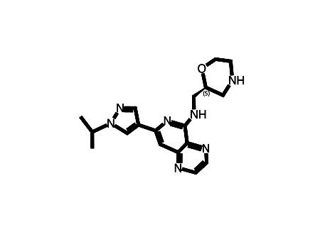 CC(C)n1cc(-c2cc3nccnc3c(NC[C@@H]3CNCCO3)n2)cn1